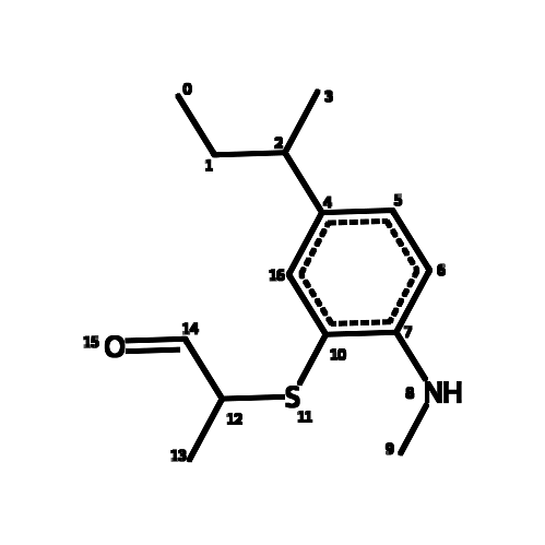 CCC(C)c1ccc(NC)c(SC(C)C=O)c1